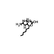 CCCCCCN(OB(O)O)C(=N)NC(=N)N